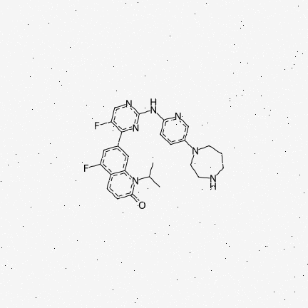 CC(C)n1c(=O)ccc2c(F)cc(-c3nc(Nc4ccc(N5CCCNCC5)cn4)ncc3F)cc21